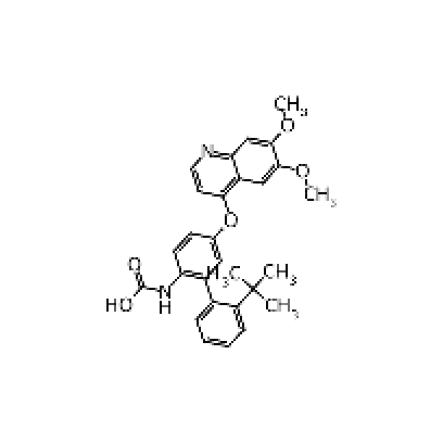 COc1cc2nccc(Oc3ccc(NC(=O)O)c(-c4ccccc4C(C)(C)C)c3)c2cc1OC